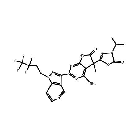 CC(C)n1nc(C2(C)C(=O)Nc3nc(-c4nn(CCC(F)(F)C(F)(F)F)c5ccncc45)nc(N)c32)oc1=O